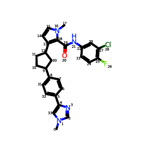 Cn1cnc(-c2ccc(C3CCC(c4ccn(C)c4C(=O)Nc4ccc(F)c(Cl)c4)C3)cc2)c1